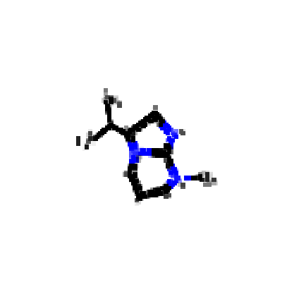 CC(C)c1cnc2n1ccc[n+]2C